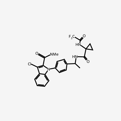 CNC(=O)c1c(Cl)c2ccccc2n1-c1ccc(C(C)NC(=O)C2(NC(=O)C(F)(F)F)CC2)cc1